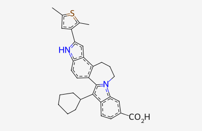 Cc1cc(-c2cc3c4c(ccc3[nH]2)-c2c(C3CCCCC3)c3ccc(C(=O)O)cc3n2CCC4)c(C)s1